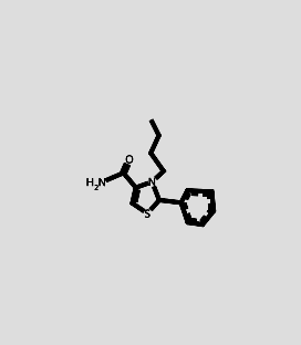 CCCCN1C(C(N)=O)=CSC1c1ccccc1